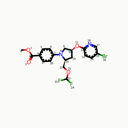 COC(=O)c1ccc(N2C[C@@H](Oc3ccc(Br)cn3)C[C@H]2COC(F)F)cc1